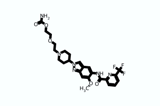 COc1cc2nn(C3CCN(CCOCCOC(N)=O)CC3)cc2cc1NC(=O)c1cccc(C(F)(F)F)n1